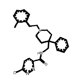 Cc1ccccc1CCN1CCC(CNC(=O)c2ccc(Cl)nn2)(c2ccccc2)CC1